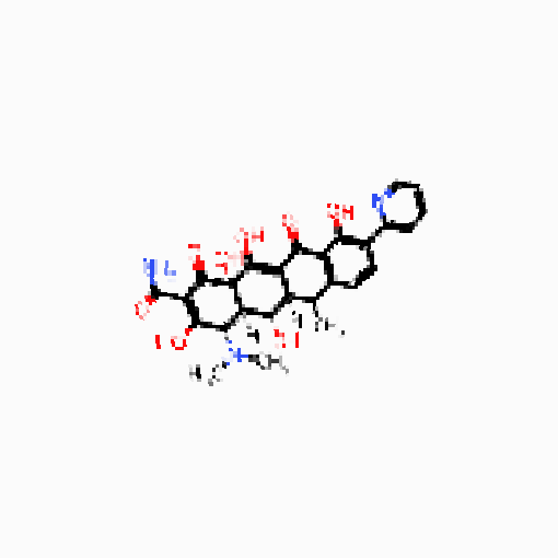 C[C@@H]1c2ccc(-c3ccccn3)c(O)c2C(=O)C2=C(O)[C@]3(O)C(=O)C(C(N)=O)=C(O)[C@@H](N(C)C)[C@@H]3[C@@H](O)[C@@H]21